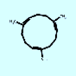 CC1=CCCC(C)=CCCC(C)=CCC1